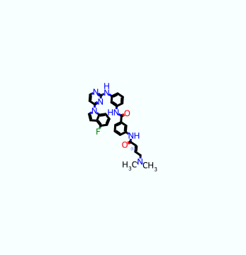 CN(C)C/C=C/C(=O)Nc1cccc(C(=O)Nc2cccc(Nc3nccc(-n4ccc5c(F)cccc54)n3)c2)c1